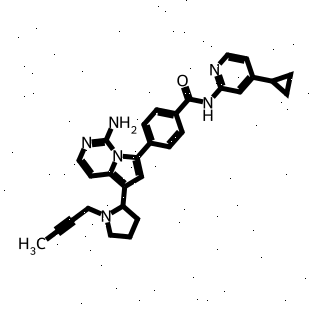 CC#CCN1CCCC1c1cc(-c2ccc(C(=O)Nc3cc(C4CC4)ccn3)cc2)n2c(N)nccc12